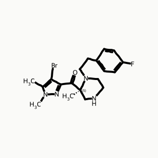 Cc1c(Br)c(C(=O)[C@]2(C)CNCCN2CCc2ccc(F)cc2)nn1C